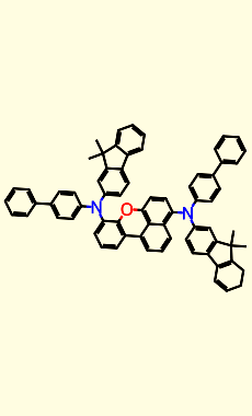 CC1(C)C2=C(C=CCC2)c2ccc(N(c3ccc(-c4ccccc4)cc3)c3ccc4c5c(cccc35)-c3cccc(N(c5ccc(-c6ccccc6)cc5)c5ccc6c(c5)C(C)(C)c5ccccc5-6)c3O4)cc21